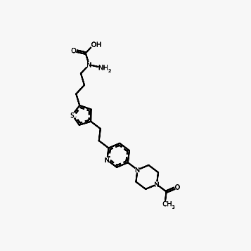 CC(=O)N1CCN(c2ccc(CCc3csc(CCCN(N)C(=O)O)c3)nc2)CC1